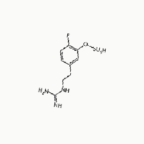 N=C(N)NCCc1ccc(F)c(OS(=O)(=O)O)c1